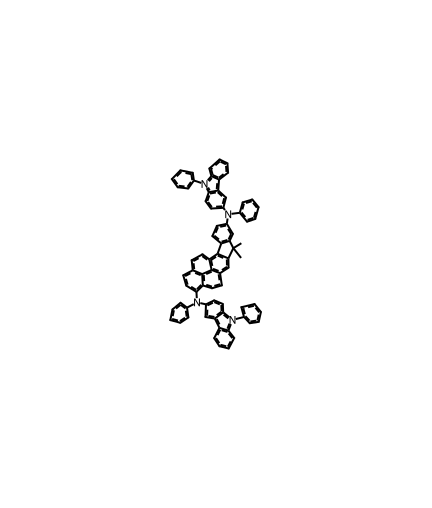 CC1(C)c2cc(N(c3ccccc3)c3ccc4c(c3)c3ccccc3n4-c3ccccc3)ccc2-c2c1cc1ccc3c(N(c4ccccc4)c4ccc5c(c4)c4ccccc4n5-c4ccccc4)ccc4ccc2c1c43